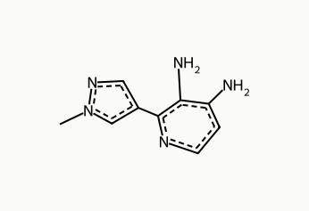 Cn1cc(-c2nccc(N)c2N)cn1